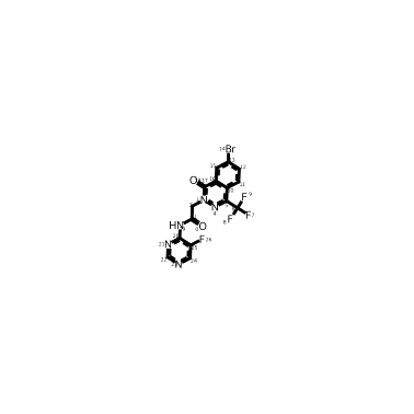 O=C(Cn1nc(C(F)(F)F)c2ccc(Br)cc2c1=O)Nc1ncncc1F